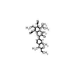 C=CC(=O)N(C)c1ccc(C(Sc2nc(N(C)C)c(C#N)c(CC)c2C#N)C(N)=O)cc1C